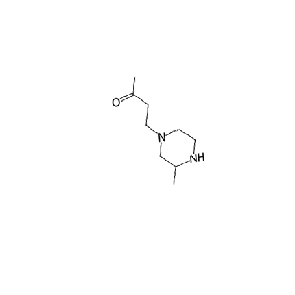 CC(=O)CCN1CCNC(C)C1